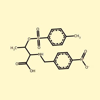 Cc1ccc(S(=O)(=O)OC(C)C(NCc2ccc([N+](=O)[O-])cc2)C(=O)O)cc1